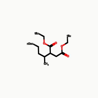 CCCCCCCCCCCCC(C)C(CC(=O)OCC(C)(C)C)C(=O)OCC(C)(C)C